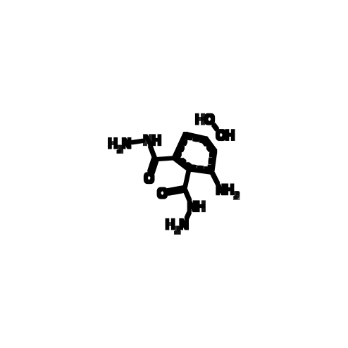 NNC(=O)c1cccc(N)c1C(=O)NN.OO